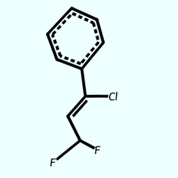 FC(F)C=C(Cl)c1ccccc1